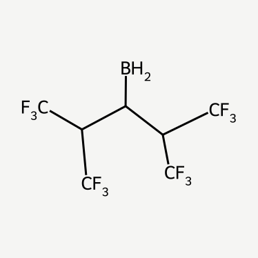 BC(C(C(F)(F)F)C(F)(F)F)C(C(F)(F)F)C(F)(F)F